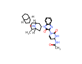 CC(=O)NC1C=CN(c2nc3ccccc3n([C@H]3C[C@H]4CC[C@H](C)[C@@H](C3)N4C[C@H]3C[C@@H]4CCC[C@@H](C4)C3)c2=O)C(=O)N1